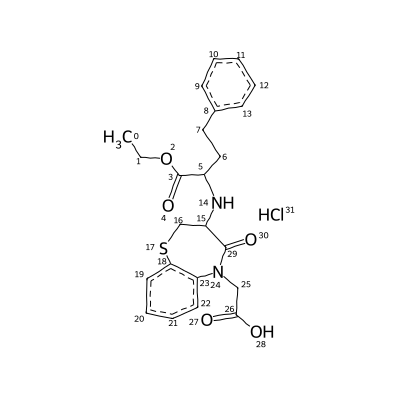 CCOC(=O)C(CCc1ccccc1)NC1CSc2ccccc2N(CC(=O)O)C1=O.Cl